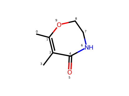 CC1=C(C)C(=O)NCCO1